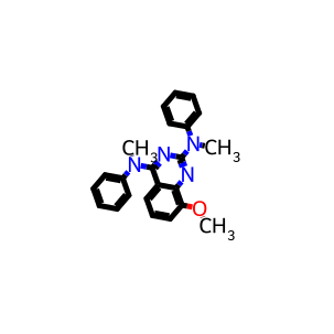 COc1cccc2c(N(C)c3ccccc3)nc(N(C)c3ccccc3)nc12